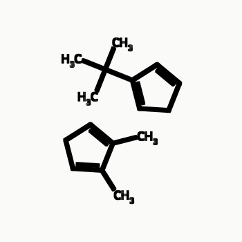 CC(C)(C)C1=CCC=C1.CC1=CCC=C1C